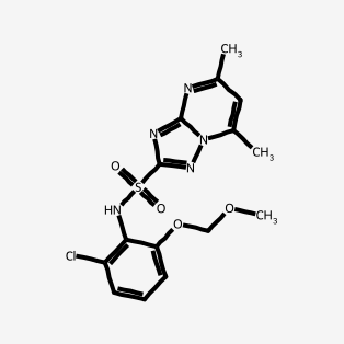 COCOc1cccc(Cl)c1NS(=O)(=O)c1nc2nc(C)cc(C)n2n1